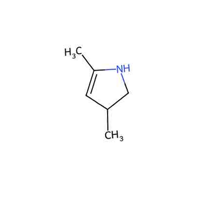 CC1=CC(C)CN1